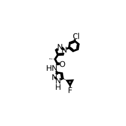 C[C@@H](C(=O)Nc1cc([C@@H]2C[C@H]2F)[nH]n1)c1cnn(-c2cccc(Cl)c2)c1